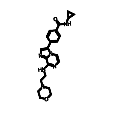 O=C(NC1CC1)c1ccc(-c2cnc3c(NCCN4CCOCC4)nccn23)cc1